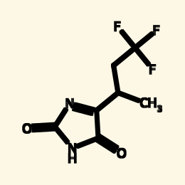 CC(CC(F)(F)F)C1=NC(=O)NC1=O